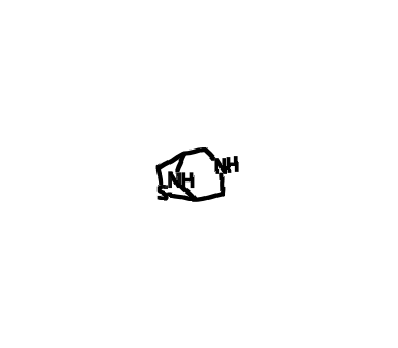 C1NCC2NC1CS2